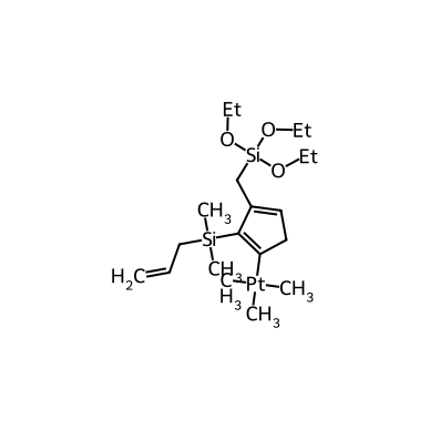 C=CC[Si](C)(C)C1=[C]([Pt]([CH3])([CH3])[CH3])CC=C1C[Si](OCC)(OCC)OCC